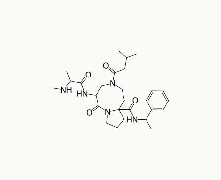 CNC(C)C(=O)NC1CN(C(=O)CC(C)C)CCC2(C(=O)NC(C)c3ccccc3)CCCN2C1=O